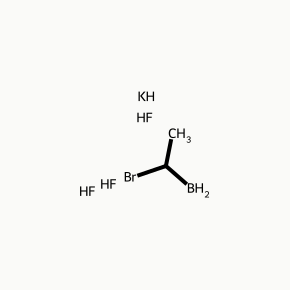 BC(C)Br.F.F.F.[KH]